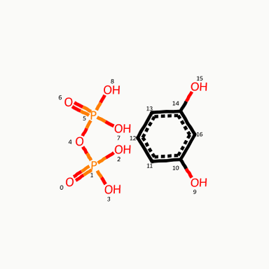 O=P(O)(O)OP(=O)(O)O.Oc1cccc(O)c1